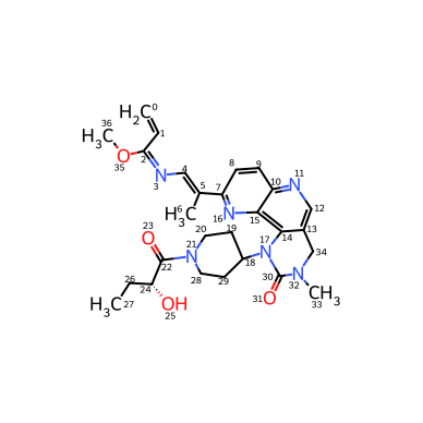 C=C/C(=N\C=C(/C)c1ccc2ncc3c(c2n1)N(C1CCN(C(=O)[C@H](O)CC)CC1)C(=O)N(C)C3)OC